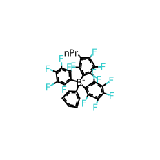 CCCc1c(F)c(F)c(F)c([B-](c2ccccc2)(c2c(F)c(F)c(F)c(F)c2F)c2c(F)c(F)c(F)c(F)c2F)c1F